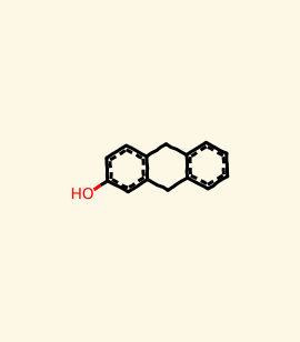 Oc1ccc2c(c1)Cc1ccccc1C2